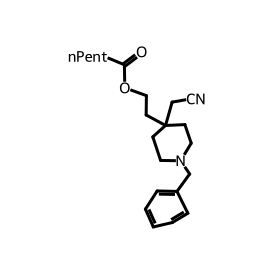 CCCCCC(=O)OCCC1(CC#N)CCN(Cc2ccccc2)CC1